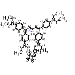 CCN(CC)c1ccc(C(=C/C=C/C(=C2C=CC(=[N+](CC)CC)C=C2)c2ccc(N(CC)CC)cc2)c2ccc(N(CC)CC)cc2)cc1.[O-][Cl+3]([O-])([O-])[O-]